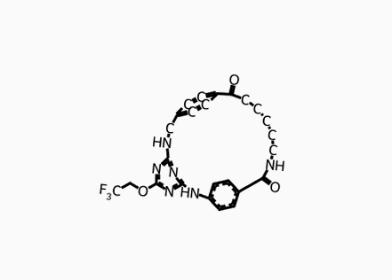 O=C1CCCCCNC(=O)c2ccc(cc2)Nc2nc(nc(OCC(F)(F)F)n2)NCc2ccc1cc2